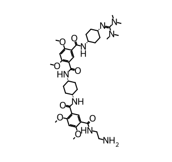 COc1cc(OC)c(C(=O)N[C@H]2CC[C@@H](NC(=O)c3cc(C(=O)N[C@H]4CC[C@@H](N=C(N(C)C)N(C)C)CC4)c(OC)cc3OC)CC2)cc1C(=O)NCCN